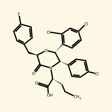 CCC[C@H](C(=O)O)N1C(=O)[C@@H](Cc2ccc(F)cc2)O[C@H](c2ccc(Cl)cc2Cl)[C@@H]1c1ccc(Cl)cc1